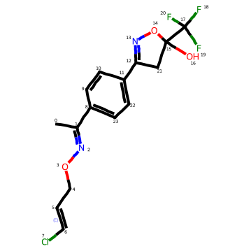 CC(=NOC/C=C/Cl)c1ccc(C2=NOC(O)(C(F)(F)F)C2)cc1